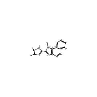 Cc1cc(-c2nc3cnc4ccccc4c3n2C)on1